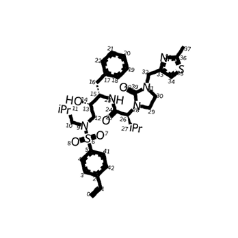 C=Cc1ccc(S(=O)(=O)N(CC(C)C)C[C@H](O)[C@H](Cc2ccccc2)NC(=O)[C@H](C(C)C)N2CCN(Cc3csc(C)n3)C2=O)cc1